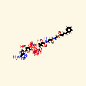 CC(C)(COP(=O)(O)OP(=O)(O)OC[C@H]1O[C@@H](n2cnc3c(N)ncnc32)[C@H](O)[C@@H]1OP(=O)(O)O)[C@@H](O)C(=O)NCCC(=O)NCCSC(=O)CCCc1ccccc1